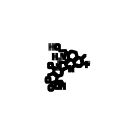 CC[C@@]1(O)C(=O)OCc2c1cc1n(c2=O)Cc2c-1nc1cc(F)c(C)c3c1c2[C@@](N)(CCO)CC3